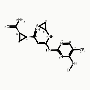 CCNc1nc(N/C(=C/C(=N)[C@H]2C[C@H]2C(N)=O)NC2CC2)ncc1C(F)(F)F